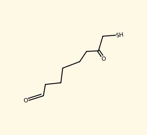 O=CCCCCCC(=O)CS